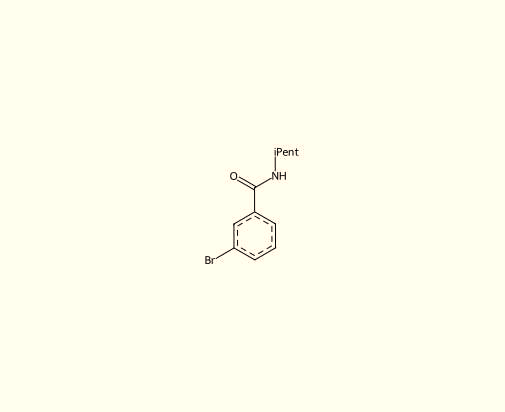 CCCC(C)NC(=O)c1cccc(Br)c1